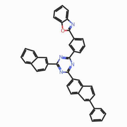 c1ccc(-c2ccc3cc(-c4nc(-c5cccc(-c6nc7ccccc7o6)c5)nc(-c5ccc6ccccc6c5)n4)ccc3c2)cc1